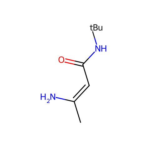 CC(N)=CC(=O)NC(C)(C)C